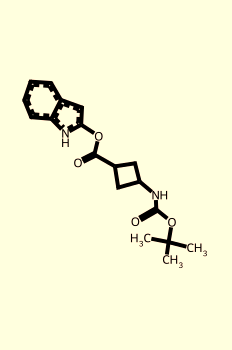 CC(C)(C)OC(=O)NC1CC(C(=O)Oc2cc3ccccc3[nH]2)C1